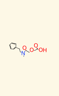 CN(CCc1ccccc1)C(=O)COCC(=O)O